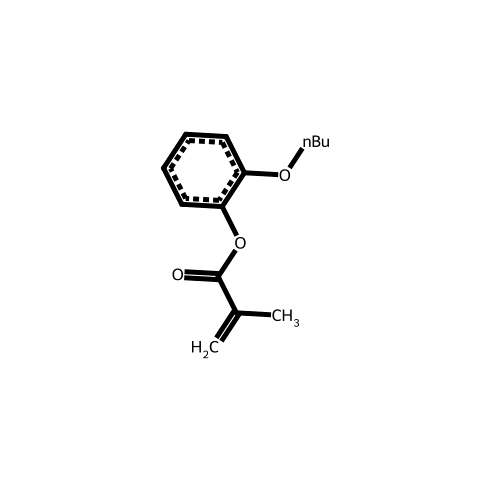 C=C(C)C(=O)Oc1ccccc1OCCCC